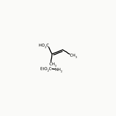 CC=C(C)C(=O)O.CCOC(N)=O